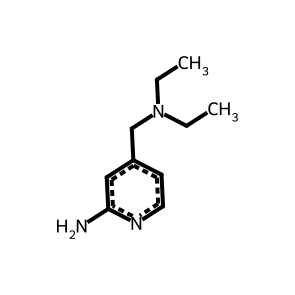 CCN(CC)Cc1ccnc(N)c1